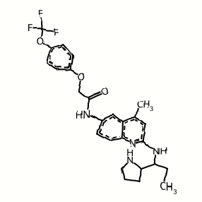 CCC(Nc1cc(C)c2cc(NC(=O)COc3ccc(OC(F)(F)F)cc3)ccc2n1)C1CCCN1